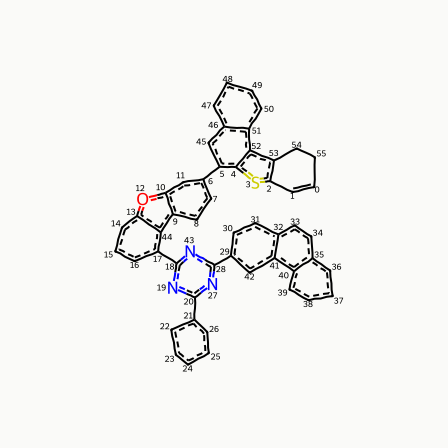 C1=Cc2sc3c(-c4ccc5c(c4)oc4cccc(-c6nc(-c7ccccc7)nc(-c7ccc8ccc9ccccc9c8c7)n6)c45)cc4ccccc4c3c2CC1